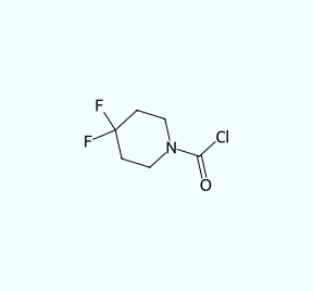 O=C(Cl)N1CCC(F)(F)CC1